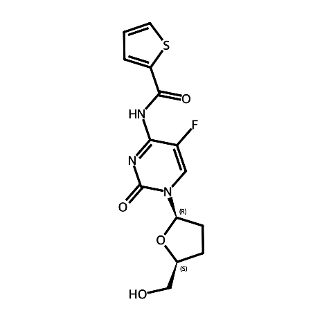 O=C(Nc1nc(=O)n([C@H]2CC[C@@H](CO)O2)cc1F)c1cccs1